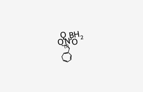 BC(=O)N1C(=O)OC[C@@H]1CC1=CCC=CC=C1